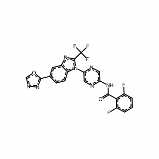 O=C(Nc1cnc(-n2c(C(F)(F)F)nc3cc(-c4nnco4)ccc32)cn1)c1c(F)cccc1F